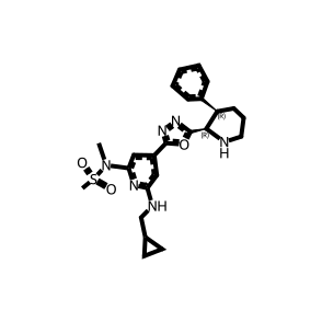 CN(c1cc(-c2nnc([C@@H]3NCCC[C@@H]3c3ccccc3)o2)cc(NCC2CC2)n1)S(C)(=O)=O